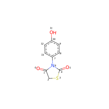 O=C1CSC(=O)N1c1[c]cc(O)cc1